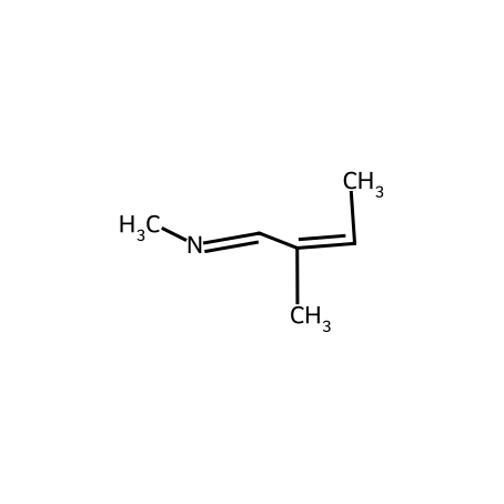 CC=C(C)C=NC